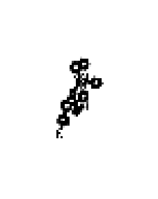 N#Cc1ccc(-c2ccc3c(c2)C2(c4ccccc4Oc4ccccc42)c2cc(-c4nc(-c5ccccc5)nc(-c5cccc6ccccc56)n4)ccc2-3)cc1